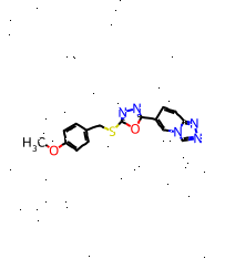 COc1ccc(CSc2nnc(-c3ccc4nncn4c3)o2)cc1